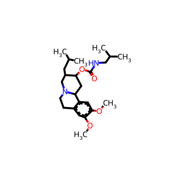 COc1cc2c(cc1OC)C1CC(OC(=O)NCC(C)C)C(CC(C)C)CN1CC2